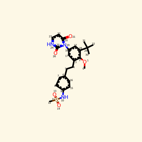 COc1c(CCc2ccc(NS(C)(=O)=O)cc2)cc(-n2c(=O)cc[nH]c2=O)cc1C(C)(C)C